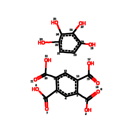 O=C(O)c1cc(C(=O)O)c(C(=O)O)cc1C(=O)O.Oc1ccc(O)c(O)c1O